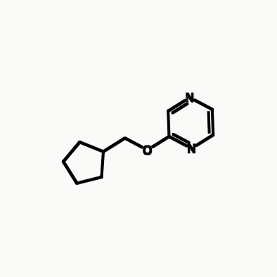 c1cnc(OCC2CCCC2)cn1